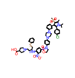 Cc1c(S(C)(=O)=O)c(-c2cccc(N3CCN(c4ccc(N5CCOP5(=O)c5ccc(NC(CCN6CCC(C(=O)O)CC6)CSc6ccccc6)c([N+](=O)[O-])c5)cc4)CC3)c2)c(-c2ccc(Cl)cc2)n1C(C)C